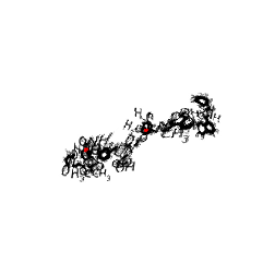 Cc1c(-c2ccc(N3CCc4cccc(C(=O)Nc5nc6ccccc6s5)c4C3)nc2C(=O)O)cnn1CC12CC3(C)CC(C)(C1)CC(OCCN(CCS(=O)(=O)O)C(=O)OCc1ccc(N(C(=O)[C@@H](NC(=O)CCN4C(=O)C=CC4=O)C(C)C)[C@@H](CCCNC(N)=O)C(N)=O)cc1)(C3)C2